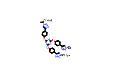 CCCCCCn1cc(-c2ccc(Oc3nc(Oc4ccc(-c5cn(CC)nn5)cc4)nc(Oc4ccc(-c5cn(C(C)CCCCC)nn5)cc4)n3)cc2)nn1